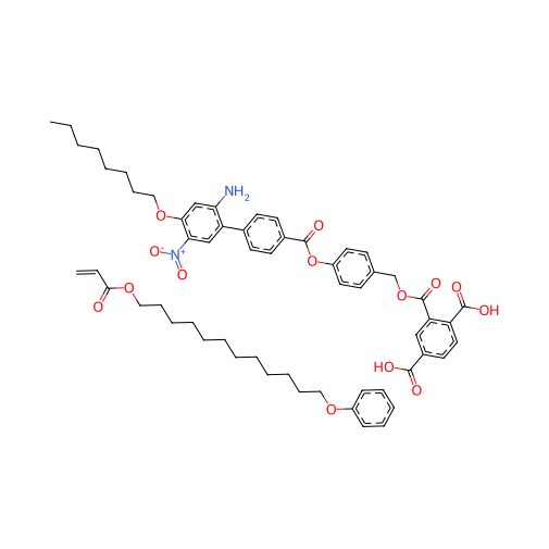 C=CC(=O)OCCCCCCCCCCCCOc1ccccc1.CCCCCCCCOc1cc(N)c(-c2ccc(C(=O)Oc3ccc(COC(=O)c4cc(C(=O)O)ccc4C(=O)O)cc3)cc2)cc1[N+](=O)[O-]